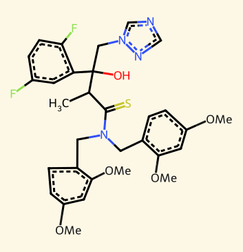 COc1ccc(CN(Cc2ccc(OC)cc2OC)C(=S)C(C)C(O)(Cn2cncn2)c2cc(F)ccc2F)c(OC)c1